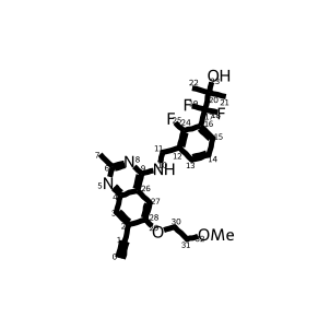 C#Cc1cc2nc(C)nc(NCc3cccc(C(F)(F)C(C)(C)O)c3F)c2cc1OCCOC